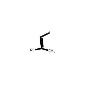 CC(C#N)=CI